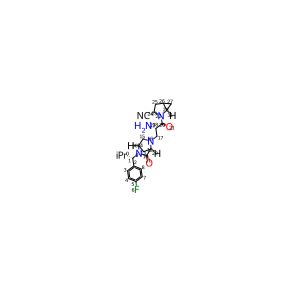 CC(C)[C@@H](c1ccc(F)cc1)N1C(=O)[C@@H]2C[C@H]1CN2C[C@H](N)C(=O)N1[C@H](C#N)CC2C[C@@H]21